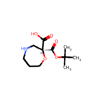 CC(C)(C)OC(=O)[C@@]1(C(=O)O)CNCCCO1